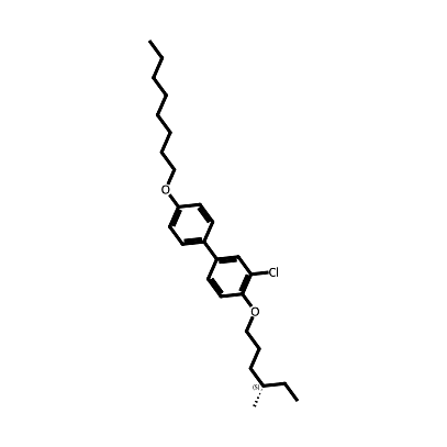 CCCCCCCCOc1ccc(-c2ccc(OCCC[C@@H](C)CC)c(Cl)c2)cc1